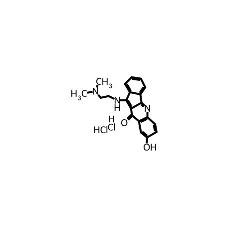 CN(C)CCNC1=C2C(=O)c3cc(O)ccc3N=C2c2ccccc21.Cl.Cl